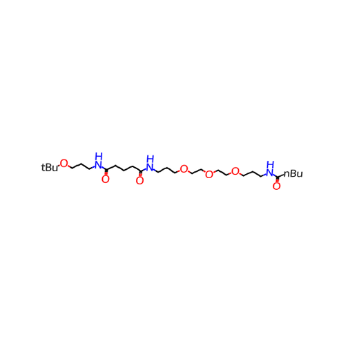 CCCCC(=O)NCCCOCCOCCOCCCNC(=O)CCCC(=O)NCCCOC(C)(C)C